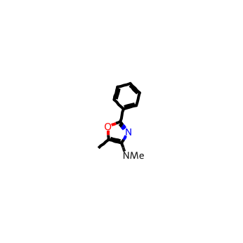 CNc1nc(-c2ccccc2)oc1C